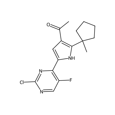 CC(=O)c1cc(-c2nc(Cl)ncc2F)[nH]c1C1(C)CCCC1